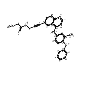 COCC(=O)NCC#Cc1ccc2ncnc(Nc3ccc(Oc4ccccc4)c(C)c3)c2c1